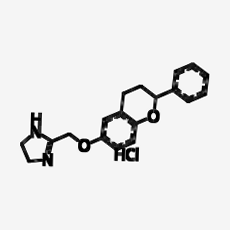 Cl.c1ccc(C2CCc3cc(OCC4=NCCN4)ccc3O2)cc1